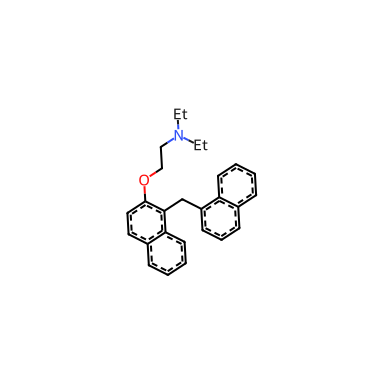 CCN(CC)CCOc1ccc2ccccc2c1Cc1cccc2ccccc12